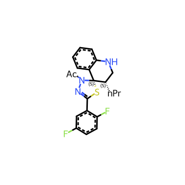 CCC[C@H]1CNc2ccccc2[C@@]12SC(c1cc(F)ccc1F)=NN2C(C)=O